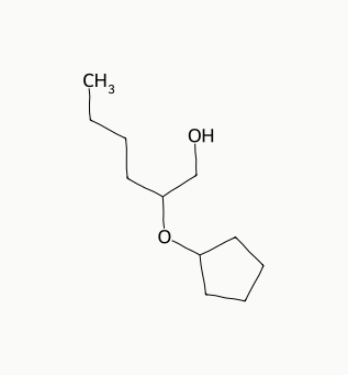 CCCCC(CO)OC1CCCC1